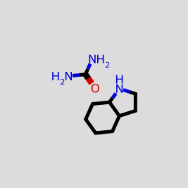 C1CCC2NCCC2C1.NC(N)=O